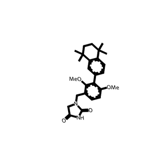 COc1ccc(CN2CC(=O)NC2=O)c(OC)c1-c1ccc2c(c1)C(C)(C)CCC2(C)C